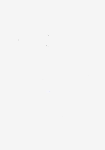 CO/C=C(\Oc1cc(-n2cc(Br)cn2)ccc1C)C(=O)OC